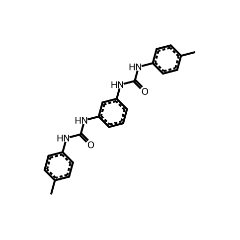 Cc1ccc(NC(=O)Nc2cccc(NC(=O)Nc3ccc(C)cc3)c2)cc1